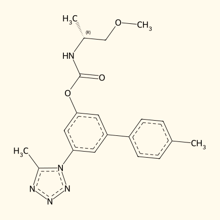 COC[C@@H](C)NC(=O)Oc1cc(-c2ccc(C)cc2)cc(-n2nnnc2C)c1